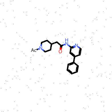 CC(=O)N1CCC(CC(=O)Nc2cc(-c3ccccc3)ccn2)CC1